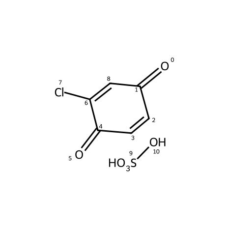 O=C1C=CC(=O)C(Cl)=C1.O=S(=O)(O)O